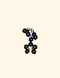 CC1(C)c2ccccc2-c2ccc(N(c3ccc(-c4cc(-c5cccc6c5sc5ccccc56)cc(-c5cccc6c5sc5ccccc56)c4)cc3)c3cccc4ccccc34)cc21